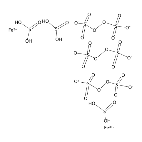 O=S(=O)([O-])OOS(=O)(=O)[O-].O=S(=O)([O-])OOS(=O)(=O)[O-].O=S(=O)([O-])OOS(=O)(=O)[O-].O=S(O)O.O=S(O)O.O=S(O)O.[Fe+3].[Fe+3]